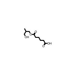 CC(CO)COC(=O)CCCCC(=O)O